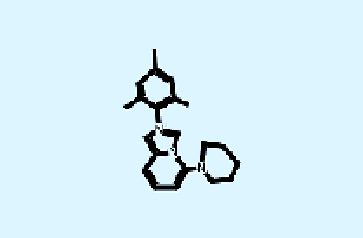 Cc1cc(C)c(-[n+]2cc3cccc(N4CCCCC4)n3c2)c(C)c1